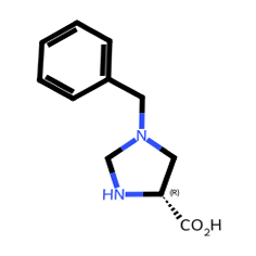 O=C(O)[C@H]1CN(Cc2ccccc2)CN1